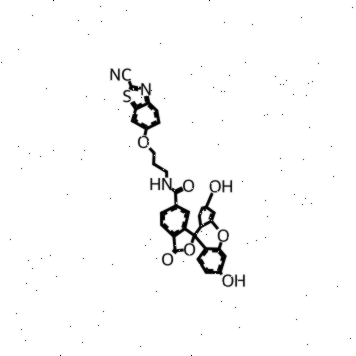 N#Cc1nc2ccc(OCCCNC(=O)c3ccc4c(c3)C3(OC4=O)c4ccc(O)cc4OC4=CC(O)=CCC43)cc2s1